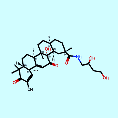 CC1(C)C(=O)C(C#N)=C[C@]2(C)C3=CC(=O)[C@]4(O)[C@@H]5C[C@@](C)(C(=O)NCC(O)CCO)CC[C@]5(C)CC[C@@]4(C)[C@]3(C)CC[C@@H]12